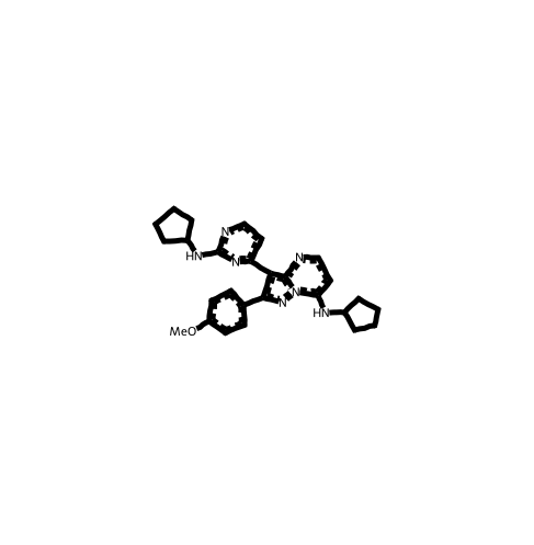 COc1ccc(-c2nn3c(NC4CCCC4)ccnc3c2-c2ccnc(NC3CCCC3)n2)cc1